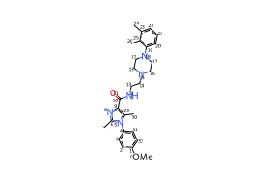 COc1ccc(-n2c(C)nc(C(=O)NCCN3CCN(c4cccc(C)c4C)CC3)c2C)cc1